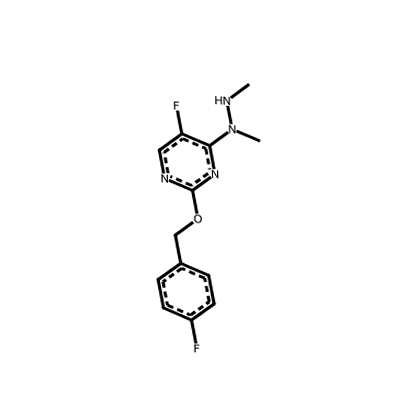 CNN(C)c1nc(OCc2ccc(F)cc2)ncc1F